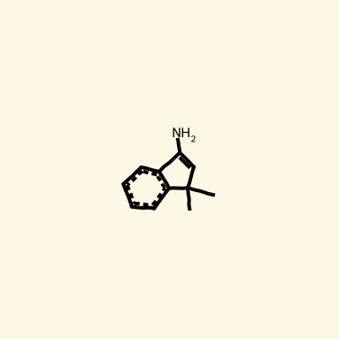 CC1(C)C=C(N)c2ccccc21